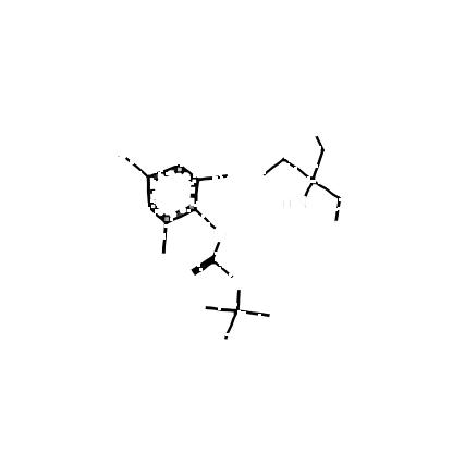 Cc1cc(Br)cc(C)c1OC(=O)OC(C)(C)C.NC(CO)(CO)CO.S